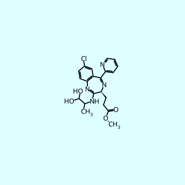 COC(=O)CC[C@@H]1N=C(c2ccccn2)c2cc(Cl)ccc2N=C1NC(C)C(O)O